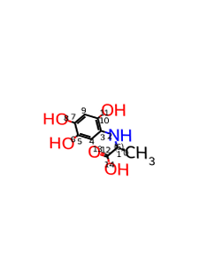 C[C@H](Nc1cc(O)c(O)cc1O)C(=O)O